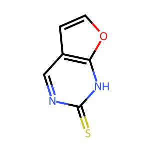 S=c1ncc2ccoc2[nH]1